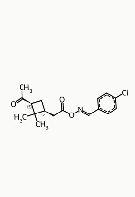 CC(=O)[C@H]1C[C@@H](CC(=O)ON=Cc2ccc(Cl)cc2)C1(C)C